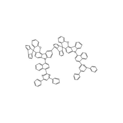 c1ccc(-c2cc(-c3ccccc3)nc(-c3ccc(-n4c5ccccc5c5c6c(ccc54)C4(c5ccccc5O6)c5ccccc5-c5c(-c6ccc7c(c6)c6c8c(ccc6n7-c6ccc(-c7nc(-c9ccccc9)cc(-c9ccccc9)n7)c7ccccc67)C6(c7ccccc7O8)c7ccccc7-c7ccccc76)cccc54)c4ccccc34)c2)cc1